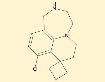 Clc1ccc2c3c1C1(CCC1)CCN3CCNC2